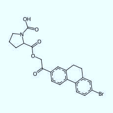 O=C(COC(=O)C1CCCN1C(=O)O)c1ccc2c(c1)CCc1cc(Br)ccc1-2